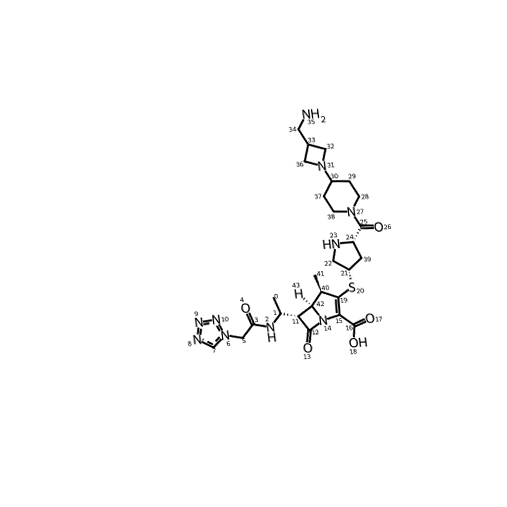 CC(NC(=O)Cn1cnnn1)[C@H]1C(=O)N2C(C(=O)O)=C(S[C@@H]3CN[C@H](C(=O)N4CCC(N5CC(CN)C5)CC4)C3)[C@H](C)[C@H]12